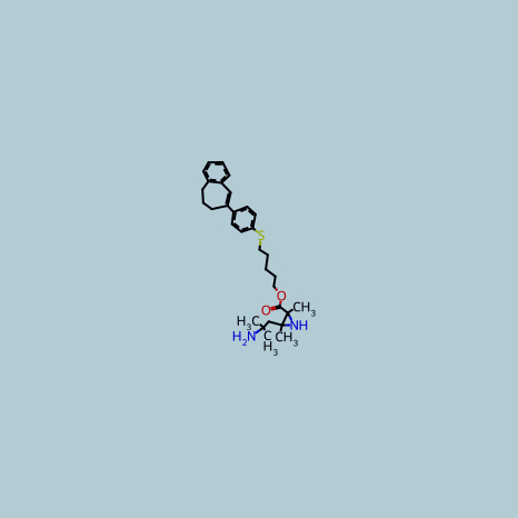 CC(C)(N)CC1(C)NC1(C)C(=O)OCCCCCSc1ccc(C2=Cc3ccccc3CCC2)cc1